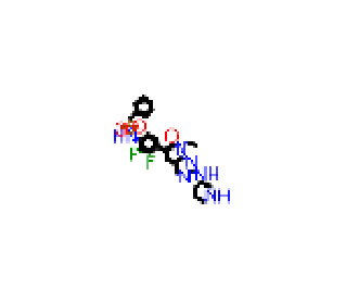 CCn1c(=O)c(-c2ccc(NS(=O)(=O)Cc3ccccc3)c(F)c2F)cc2cnc(N[C@H]3CCCNC3)nc21